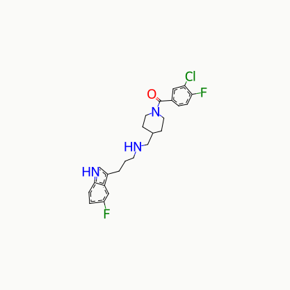 O=C(c1ccc(F)c(Cl)c1)N1CCC(CNCCCc2c[nH]c3ccc(F)cc23)CC1